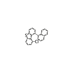 Clc1cccc2sc3cccc(-c4cccc5ccccc45)c3c12